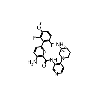 COc1ccc(F)c(-c2ccc(N)c(C(=O)Nc3cnccc3N3CCC[C@H](N)C3)n2)c1F